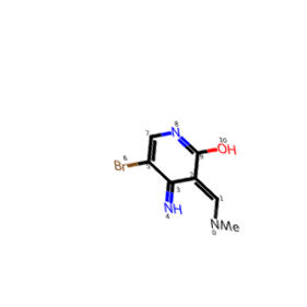 CN/C=C1\C(=N)C(Br)=CN=C1O